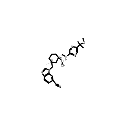 COC(C)(C)c1cnc(NC[C@@]2(OO)CCC[C@](C)(Cn3cnc4ccc(C#N)cc43)C2)cn1